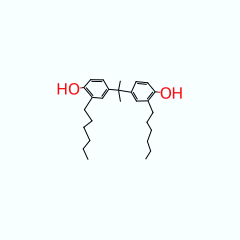 CCCCCCc1cc(C(C)(C)c2ccc(O)c(CCCCCC)c2)ccc1O